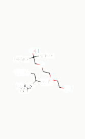 CCCCCCC(O)(CCCCCC)COCCOCCO.O=C([O-])CC(C(=O)[O-])S(=O)(=O)O.[Na+].[Na+]